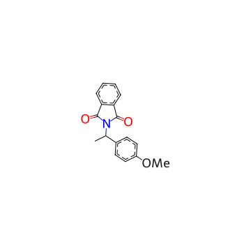 COc1ccc(C(C)N2C(=O)c3ccccc3C2=O)cc1